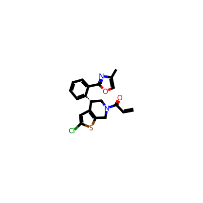 C=CC(=O)N1Cc2sc(Cl)cc2[C@H](c2ccccc2-c2nc(C)co2)C1